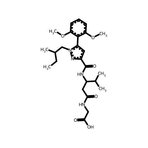 CCC(C)Cn1nc(C(=O)NC(CC(=O)NCC(=O)O)C(C)C)cc1-c1c(OC)cccc1OC